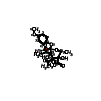 COc1ccc(O[C@@]2(C(C)=O)O[C@H](C)[C@@](O)(C(C)=O)[C@@](O)(C(C)=O)[C@]2(O)C(C)=O)cc1